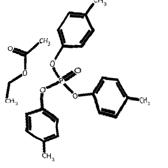 CCOC(C)=O.Cc1ccc(OP(=O)(Oc2ccc(C)cc2)Oc2ccc(C)cc2)cc1